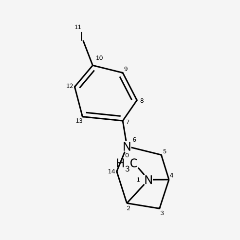 CN1C2CC1CN(c1ccc(I)cc1)C2